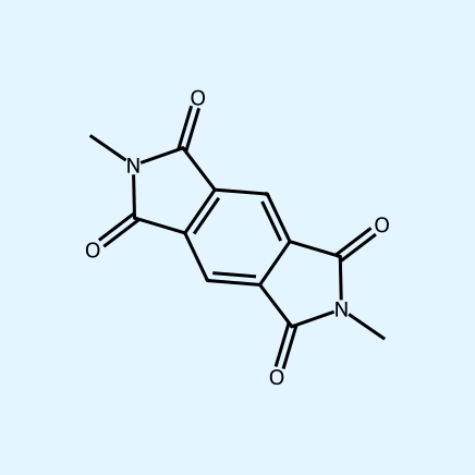 Cn1c(=O)c2cc3c(=O)n(C)c(=O)c3cc2c1=O